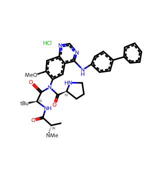 CN[C@@H](C)C(=O)N[C@H](C(=O)N(C(=O)[C@@H]1CCCN1)c1cc2c(Nc3ccc(-c4ccccc4)cc3)ncnc2cc1OC)C(C)(C)C.Cl